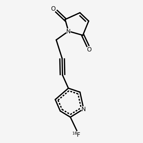 O=C1C=CC(=O)N1CC#Cc1ccc([18F])nc1